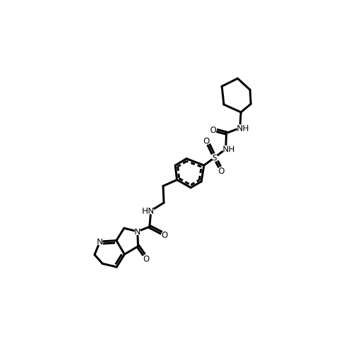 O=C(NC1CCCCC1)NS(=O)(=O)c1ccc(CCNC(=O)N2CC3=NCCC=C3C2=O)cc1